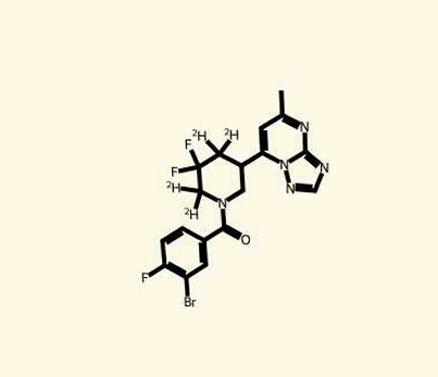 [2H]C1([2H])C(c2cc(C)nc3ncnn23)CN(C(=O)c2ccc(F)c(Br)c2)C([2H])([2H])C1(F)F